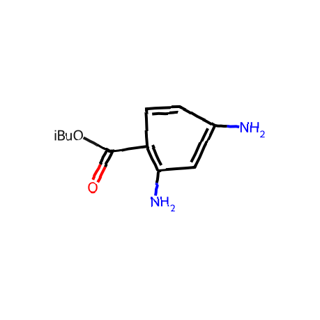 CC(C)COC(=O)c1ccc(N)cc1N